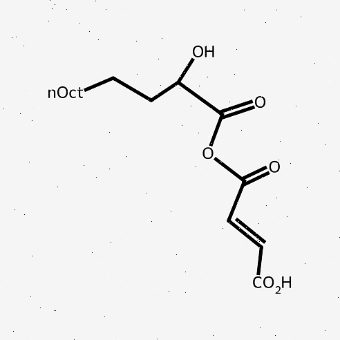 CCCCCCCCCCC(O)C(=O)OC(=O)C=CC(=O)O